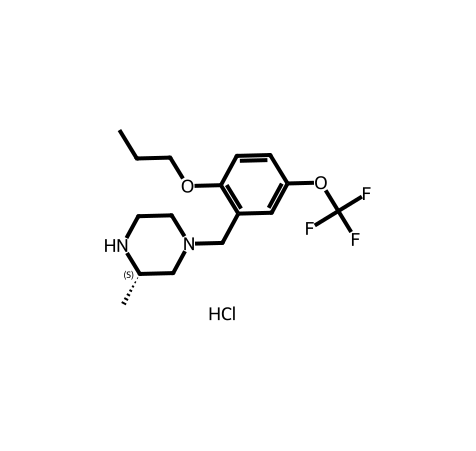 CCCOc1ccc(OC(F)(F)F)cc1CN1CCN[C@@H](C)C1.Cl